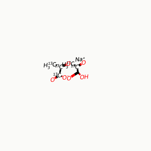 [13CH3][13C](=O)C(=O)O.[13CH3][13C](=O)[13C](=O)[O-].[Na+]